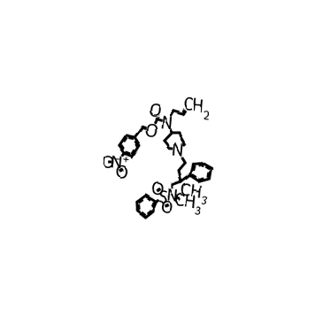 C=CCN(C(=O)OCc1ccc([N+](=O)[O-])cc1)C1CCN(CCC(C)(CN(C)S(=O)(=O)c2ccccc2)c2ccccc2)CC1